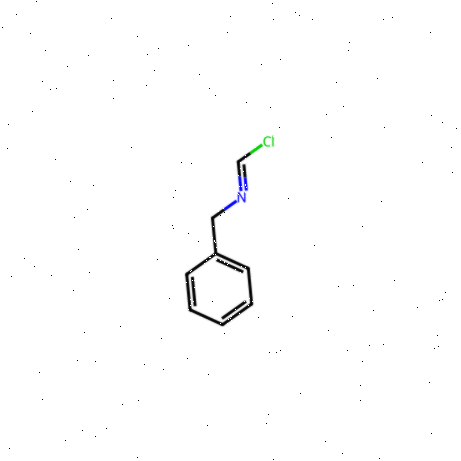 ClC=NCc1ccccc1